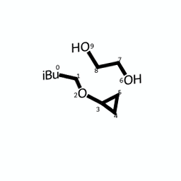 CCC(C)COC1CC1.OCCO